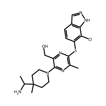 Cc1nc(N2CCC(C)(C(C)N)CC2)c(CO)nc1Sc1ccc2cn[nH]c2c1Cl